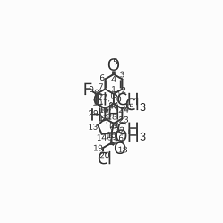 C[C@]12C=CC(=O)C=C1C(F)=C[C@H]1[C@@H]3CC[C@](O)(C(=O)CCl)[C@@]3(C)CC(Cl)[C@@]12Cl